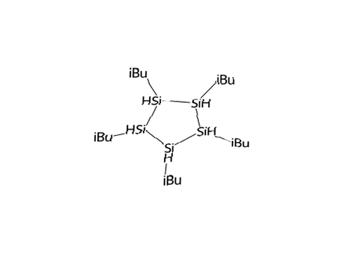 CCC(C)[SiH]1[SiH](C(C)CC)[SiH](C(C)CC)[SiH](C(C)CC)[SiH]1C(C)CC